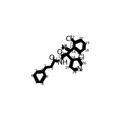 O=C(CCc1ccccc1)Nc1onc(-c2c(Cl)cccc2Cl)c1-c1ccncc1